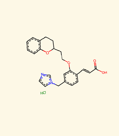 Cl.O=C(O)/C=C/c1ccc(Cn2ccnc2)cc1OCCC1CCc2ccccc2O1